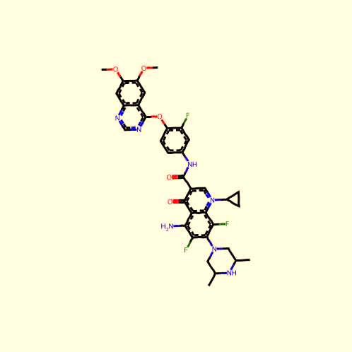 COc1cc2ncnc(Oc3ccc(NC(=O)c4cn(C5CC5)c5c(F)c(N6CC(C)NC(C)C6)c(F)c(N)c5c4=O)cc3F)c2cc1OC